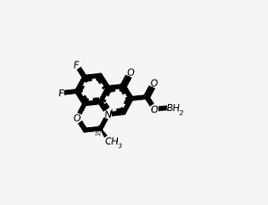 BOC(=O)c1cn2c3c(c(F)c(F)cc3c1=O)OC[C@@H]2C